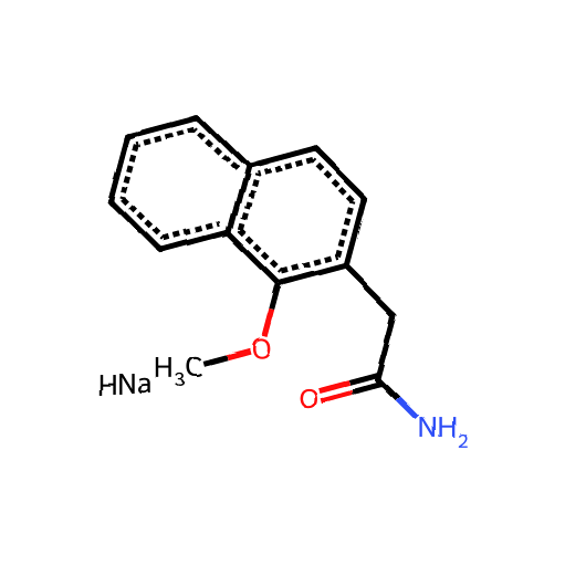 COc1c(CC(N)=O)ccc2ccccc12.[NaH]